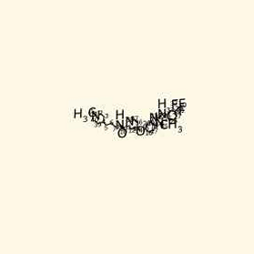 CN1CCC(CCCNC(=O)c2cc(Oc3ccc4c(c3)nc(Nc3cccc(C(F)(F)F)c3)n4C)ccn2)CC1